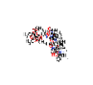 C#CCOc1cc(O[C@@H]2O[C@H](C(=O)OC)[C@@H](OC(C)=O)[C@H](OC(C)=O)[C@H]2OC(C)=O)ccc1COC(=O)N(C)[C@H](C(=O)N[C@H](C(=O)N(C)[C@@H](C(C)CC)[C@@H](CC(=O)N1CCC[C@H]1[C@H](OC)[C@@H](C)C(=O)N[C@H](C)[C@@H](O)c1ccccc1)OC)C(C)C)C(C)C